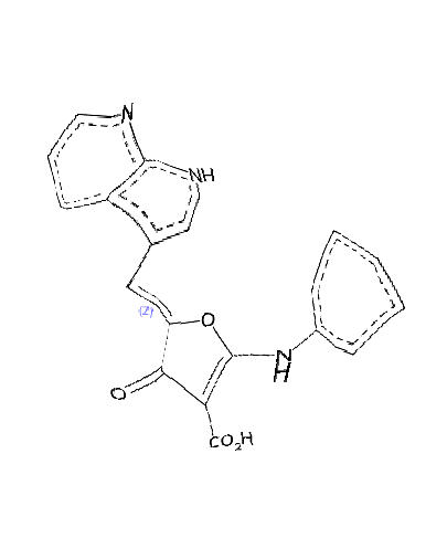 O=C(O)C1=C(Nc2ccccc2)O/C(=C\c2c[nH]c3ncccc23)C1=O